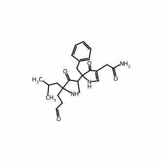 CC(C)CC1(CCC=O)NCC(C2(Cc3ccccc3)NC=C(CC(N)=O)C2=O)C1=O